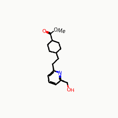 COC(=O)C1CCC(CCc2cccc(CO)n2)CC1